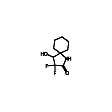 O=C1NC2(CCCCC2)C(O)C1(F)F